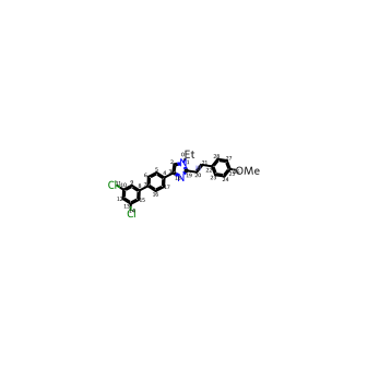 CCn1cc(-c2ccc(-c3cc(Cl)cc(Cl)c3)cc2)nc1/C=C/c1ccc(OC)cc1